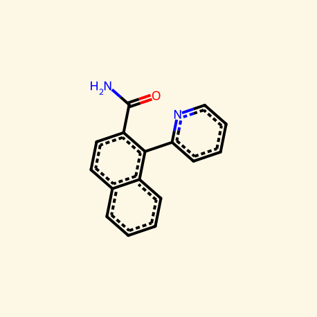 NC(=O)c1ccc2ccccc2c1-c1ccccn1